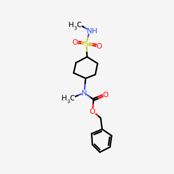 CNS(=O)(=O)C1CCC(N(C)C(=O)OCc2ccccc2)CC1